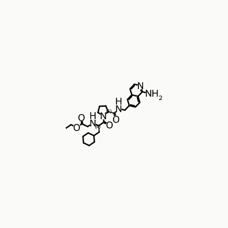 CCOC(=O)CN[C@H](CC1CCCCC1)C(=O)N1CCC[C@H]1C(=O)NCc1ccc2c(N)nccc2c1